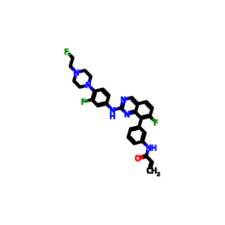 C=CC(=O)Nc1cccc(-c2c(F)ccc3cnc(Nc4ccc(N5CCN(CCF)CC5)c(F)c4)nc23)c1